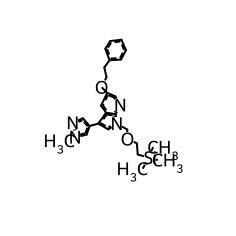 Cn1cc(-c2cn(COCC[Si](C)(C)C)c3ncc(OCCc4ccccc4)cc23)cn1